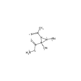 CCCCN1C(C(C)=S)C1(C#N)C(=O)CN